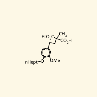 CCCCCCCOc1ccc(CCC(C)(C(=O)O)C(=O)OCC)cc1OC